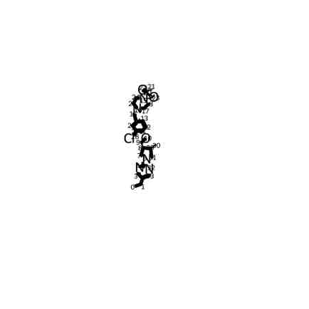 CCc1cnc(N2C[C@@H](COc3ccc(CN4CCN(S(C)(=O)=O)CC4)cc3Cl)[C@@H](C)C2)nc1